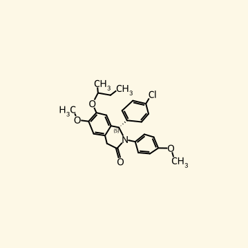 CCC(C)Oc1cc2c(cc1OC)CC(=O)N(c1ccc(OC)cc1)[C@H]2c1ccc(Cl)cc1